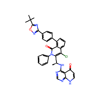 C[C@H](Nc1ncnc2[nH]ccc(=O)c12)c1c(Cl)c2cccc(-c3ccc(-c4noc(C(C)(C)C)n4)cc3)c2c(=O)n1-c1ccccc1